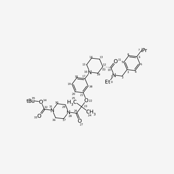 CCN(Cc1ccc(C(C)C)cc1)C(=O)[C@H]1CCCN(c2cccc(OC(C)(C)C(=O)N3CCN(C(=O)OC(C)(C)C)CC3)c2)C1